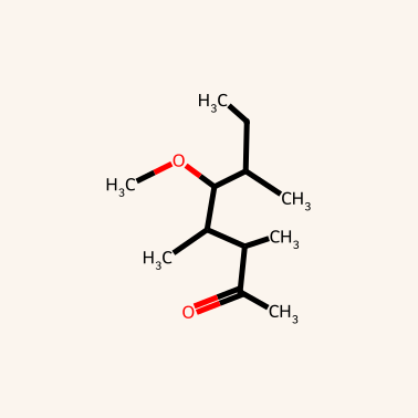 CCC(C)C(OC)C(C)C(C)C(C)=O